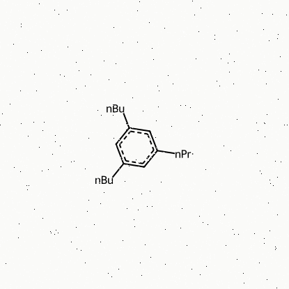 CC[CH]c1cc(CCCC)cc(CCCC)c1